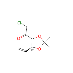 C=C[C@@H]1OC(C)(C)OC1C(=O)CCl